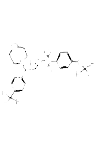 O=S(=O)(NC[C@@H](c1ccc(C(F)(F)F)cc1)N1CCOCC1)c1ccc(OC(F)(F)F)cc1